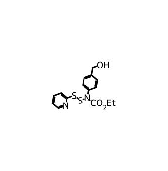 CCOC(=O)N(SSc1ccccn1)c1ccc(CO)cc1